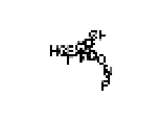 C#C[C@]1(c2ccc(OCCN3CC(CF)C3)cc2)c2ccc(O)cc2CCN1CC(F)(F)CO